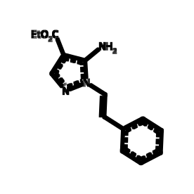 CCOC(=O)c1cnn(C=Cc2ccccc2)c1N